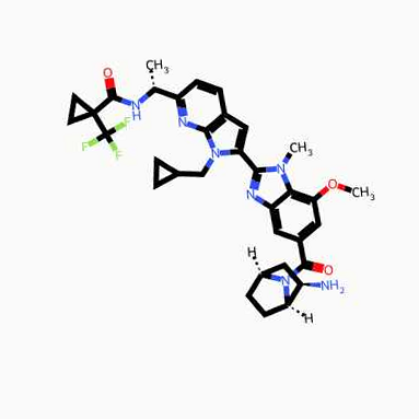 COc1cc(C(=O)N2[C@H]3CC[C@@H]2[C@H](N)C3)cc2nc(-c3cc4ccc([C@@H](C)NC(=O)C5(C(F)(F)F)CC5)nc4n3CC3CC3)n(C)c12